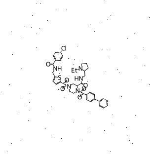 CCN1CCCC1CNC(=O)C1CN(S(=O)(=O)c2ccc(CNC(=O)c3ccc(Cl)cc3)s2)CCN1S(=O)(=O)c1ccc(-c2ccccc2)cc1